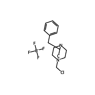 ClC[N+]12CCN(CC1)C(Cc1ccccc1)C2.F[B-](F)(F)F